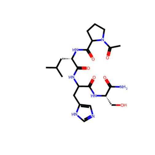 CC(=O)N1CCCC1C(=O)N[C@@H](CC(C)C)C(=O)NC(Cc1cnc[nH]1)C(=O)N[C@@H](CO)C(N)=O